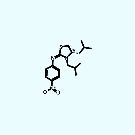 CC(C)C[C@H]1CSC(=Nc2ccc([N+](=O)[O-])cc2)N1CC(C)C